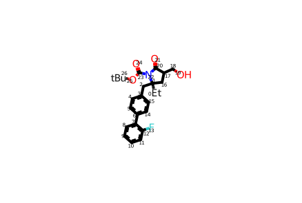 CCC1(Cc2ccc(-c3ccccc3F)cc2)CC(CO)C(=O)N1C(=O)OC(C)(C)C